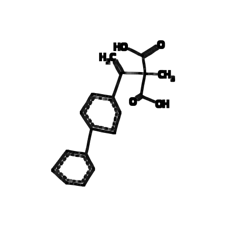 C=C(c1ccc(-c2ccccc2)cc1)C(C)(C(=O)O)C(=O)O